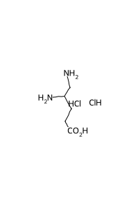 Cl.Cl.NCC(N)CCC(=O)O